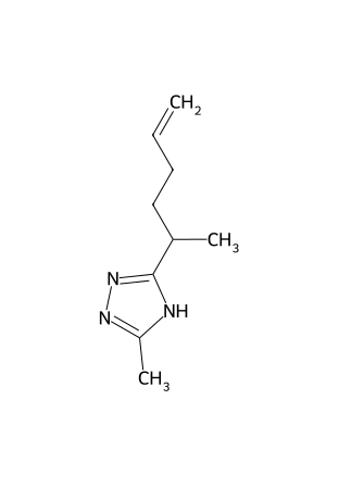 C=CCCC(C)c1nnc(C)[nH]1